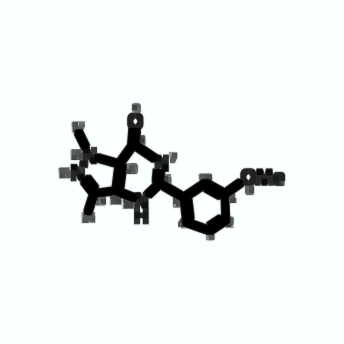 COc1cccc(-c2nc(=O)c3c([nH]2)c(C)nn3C)c1